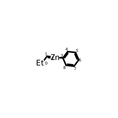 CC[CH]=[Zn][c]1ccccc1